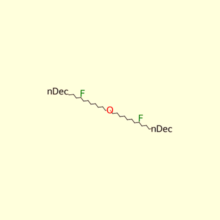 CCCCCCCCCCCCCC(F)CCCCCCCOCCCCCCCC(F)CCCCCCCCCCCCC